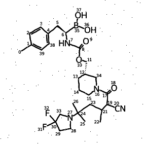 Cc1ccc(C[C@H](NC(=O)OC[C@H]2CCCN(C(=O)C(C#N)C(C)CC(C)(C)N3CCC(F)(F)C3)C2)B(O)O)cc1